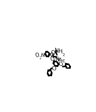 CC(=O)N(c1ccc(OCc2ccccc2)cc1OCc1ccccc1)[C@@H](CC(N)=O)C(=O)Oc1ccc([N+](=O)[O-])cc1